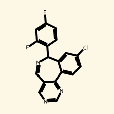 Fc1ccc(C2N=Cc3cncnc3-c3ccc(Cl)cc32)c(F)c1